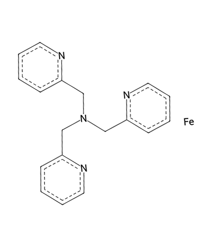 [Fe].c1ccc(CN(Cc2ccccn2)Cc2ccccn2)nc1